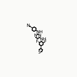 N#Cc1ccc(Nc2nccc(Nc3c(F)cc(-c4ccsc4)cc3F)n2)cc1